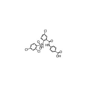 O=C(O)c1ccc(NC(=O)c2cc(Cl)ccc2NS(=O)(=O)c2ccc(Cl)cc2Cl)cc1